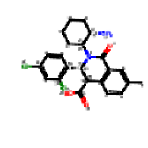 Cc1ccc2c(c1)C(=O)N([C@H]1CCCC[C@@H]1N)[C@@H](c1ccc(Cl)cc1Cl)[C@@H]2C(=O)O